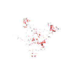 CCO[Si](CC[Si](C)(C)O[Si]12O[Si]3(OC)O[Si]4(O[SiH2]C)O[Si]5(O[Si](C)(C)CCOCCO)O[Si](O[Si](C)(C)CCOCCO)(O3)O[Si](O[Si](C)(C)CC[Si](OCC)(OCC)OCC)(O1)O[Si](O[Si](C)(C)CC[Si](OCC)(OCC)OCC)(O5)O[Si](O[Si](C)(C)CC[Si](OCC)(OCC)OCC)(O4)O2)(OCC)OCC